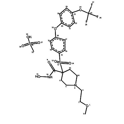 COCCN1CCC(C(=O)NO)(S(=O)(=O)c2ccc(Oc3ccc(OC(F)(F)F)cc3)cc2)CC1.CS(=O)(=O)O